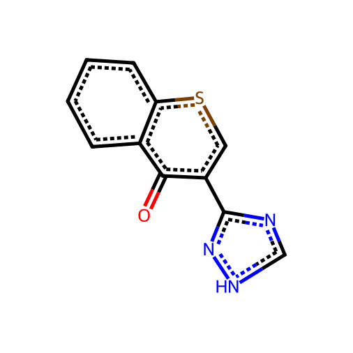 O=c1c(-c2nc[nH]n2)csc2ccccc12